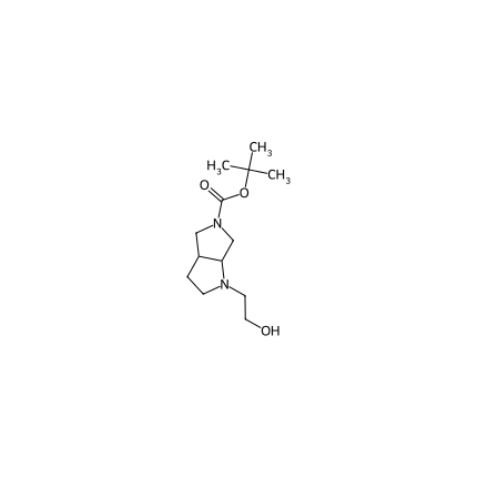 CC(C)(C)OC(=O)N1CC2CCN(CCO)C2C1